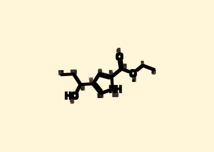 CCOC(=O)c1cc(C(O)CC)c[nH]1